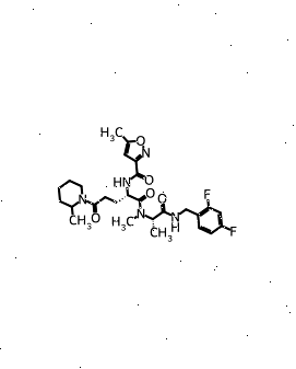 Cc1cc(C(=O)N[C@@H](CCC(=O)N2CCCCC2C)C(=O)N(C)[C@@H](C)C(=O)NCc2ccc(F)cc2F)no1